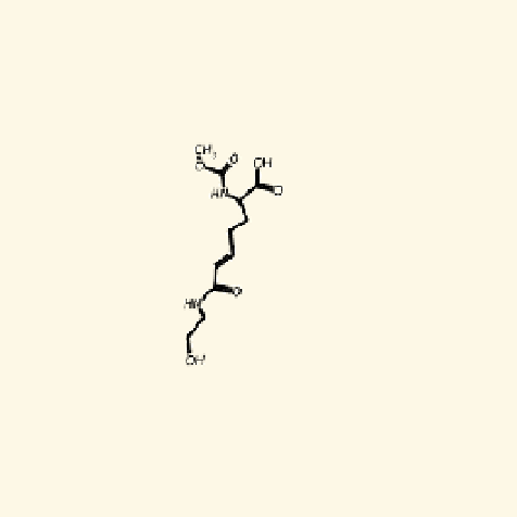 COC(=O)NC(CC/C=C/C(=O)NCCO)C(=O)O